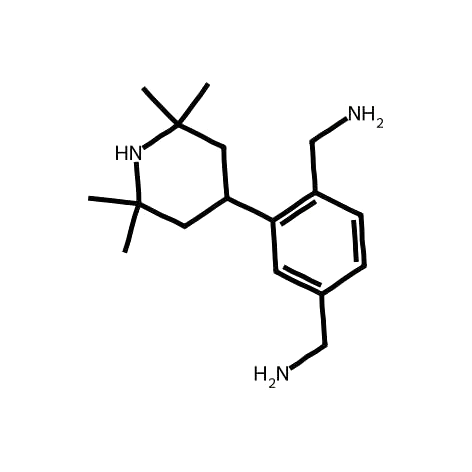 CC1(C)CC(c2cc(CN)ccc2CN)CC(C)(C)N1